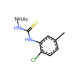 CC(=O)NNC(=S)Nc1cc(C)ccc1Cl